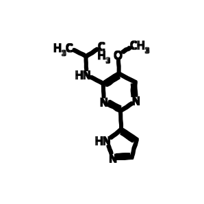 COc1cnc(-c2ccn[nH]2)nc1NC(C)C